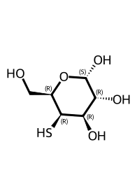 OC[C@H]1O[C@H](O)[C@H](O)[C@@H](O)[C@H]1S